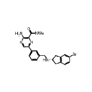 CNC(=O)c1nc(-c2cccc(CN[C@H]3Cc4ccc(Br)cc4C3)c2)cnc1N